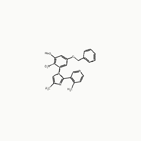 COc1cc(OCc2ccccc2)cc(-n2cc(C)nc2-c2cnccc2C)c1[N+](=O)[O-]